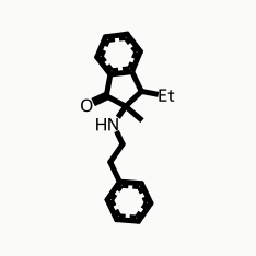 CCC1c2ccccc2C(=O)C1(C)NCCc1ccccc1